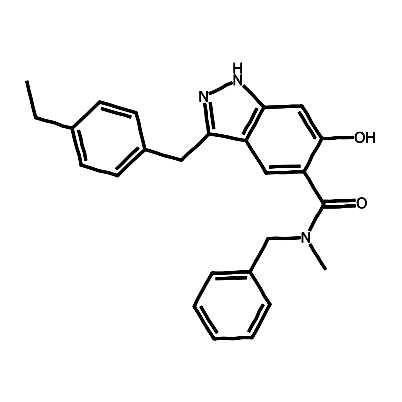 CCc1ccc(Cc2n[nH]c3cc(O)c(C(=O)N(C)Cc4ccccc4)cc23)cc1